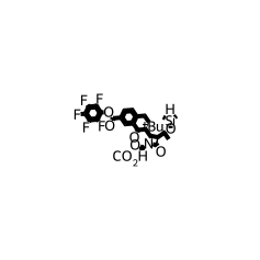 C[SiH](C)O[C@](C)([C@H]1C(=O)N(C(=O)C(=O)O)[C@@H]1[C@H]1CCc2ccc(C(=O)Oc3c(F)c(F)c(F)c(F)c3F)cc2C1=O)C(C)(C)C